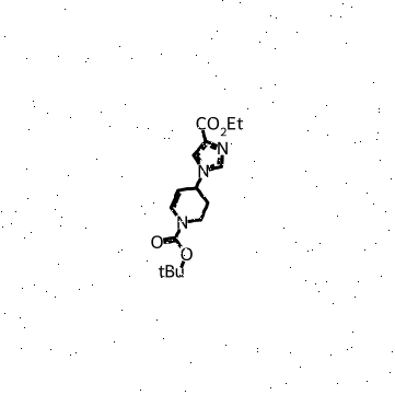 CCOC(=O)c1cn(C2C=CN(C(=O)OC(C)(C)C)CC2)cn1